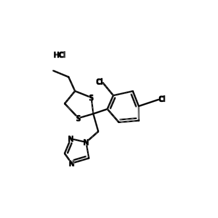 CCC1CSC(Cn2cncn2)(c2ccc(Cl)cc2Cl)S1.Cl